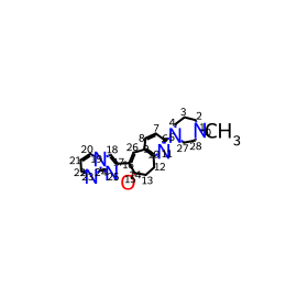 CN1CCCN(c2ccc3c(n2)CCC(=O)C(c2cn4cccnc4n2)=C3)CC1